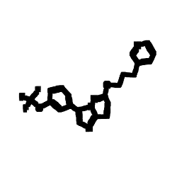 FC(F)(F)Oc1cccc(-c2cnc3ccc(OCCCc4cccnc4)nn23)c1